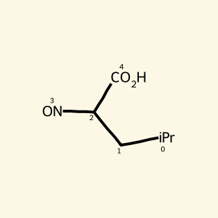 CC(C)CC(N=O)C(=O)O